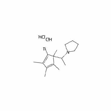 CC1=C(C)C(C)(C(C)N2CCCC2)[C]([Ti])=C1C.Cl.Cl